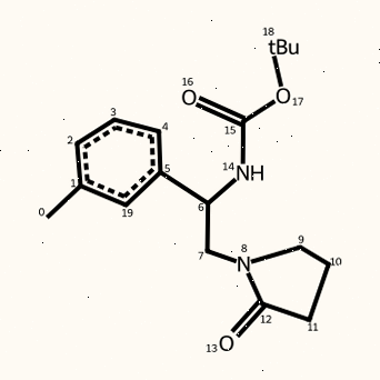 Cc1cccc(C(CN2CCCC2=O)NC(=O)OC(C)(C)C)c1